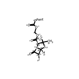 CCCCCC(=O)OCOC(=O)[C@@H]1N2C(=O)[C@H](I)[C@H]2SC1(C)C